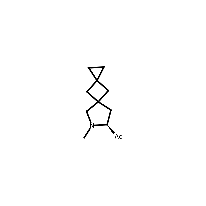 CC(=O)[C@@H]1CC2(CN1C)CC1(CC1)C2